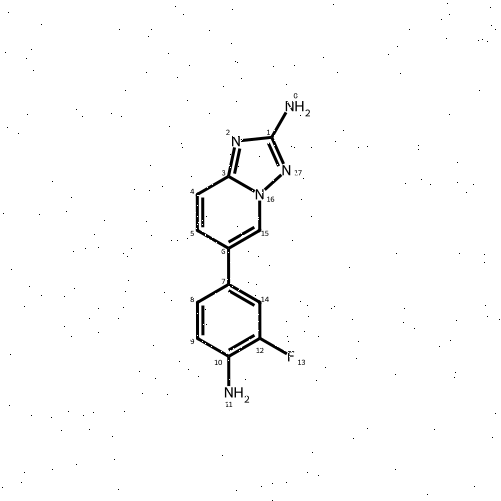 Nc1nc2ccc(-c3ccc(N)c(F)c3)cn2n1